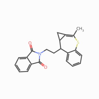 CC1=C2CC2C(CCN2C(=O)c3ccccc3C2=O)c2ccccc2S1